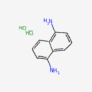 Cl.Cl.Nc1cccc2c(N)cccc12